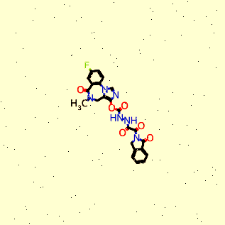 CN1Cc2c(OC(=O)NNC(=O)C(=O)N3Cc4ccccc4C3=O)ncn2-c2ccc(F)cc2C1=O